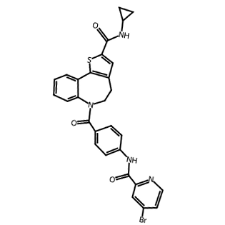 O=C(Nc1ccc(C(=O)N2CCc3cc(C(=O)NC4CC4)sc3-c3ccccc32)cc1)c1cc(Br)ccn1